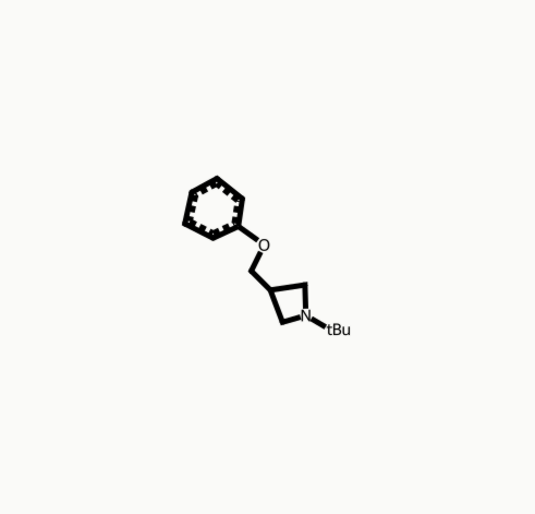 CC(C)(C)N1CC(COc2ccccc2)C1